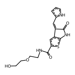 O=C1Nc2sc(C(=O)NCCOCCO)cc2/C1=C/c1ccc[nH]1